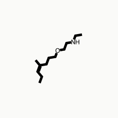 CC/C=C(/C)CCCOCCNCC